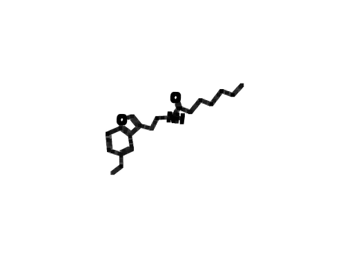 CCCCCCC(=O)NCCc1coc2ccc(CC)cc12